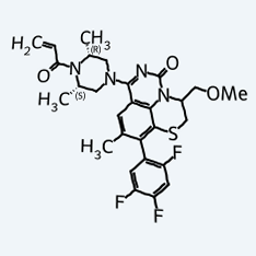 C=CC(=O)N1[C@H](C)CN(c2nc(=O)n3c4c(c(-c5cc(F)c(F)cc5F)c(C)cc24)SCC3COC)C[C@@H]1C